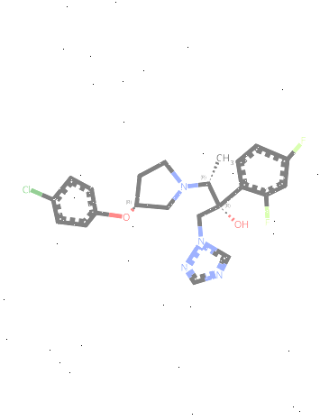 C[C@@H](N1CC[C@@H](Oc2ccc(Cl)cc2)C1)[C@](O)(Cn1cncn1)c1ccc(F)cc1F